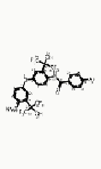 CNc1ccc(Oc2ccc(NC(=O)c3ccc(C(C)=O)cc3)c(C(O)(C(F)(F)F)C(F)(F)F)c2)cc1C(O)(C(F)(F)F)C(F)(F)F